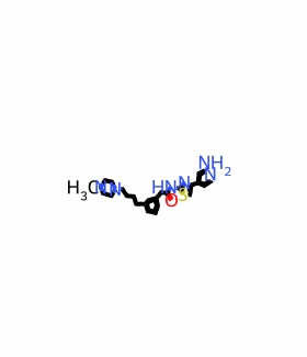 CN1CCN(CCCCc2cccc(CC(=O)Nc3nc(-c4ccnc(N)c4)cs3)c2)CC1